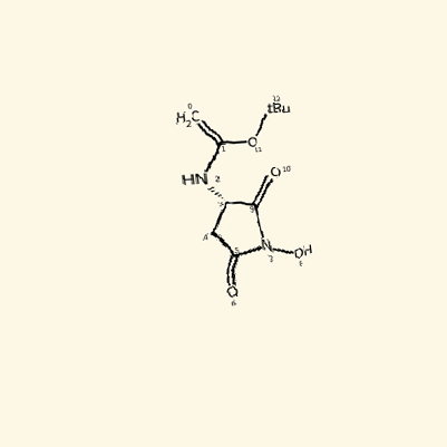 C=C(N[C@H]1CC(=O)N(O)C1=O)OC(C)(C)C